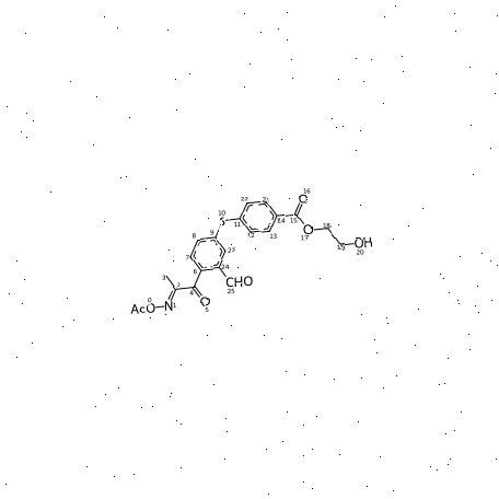 CC(=O)O/N=C(\C)C(=O)c1ccc(Sc2ccc(C(=O)OCCO)cc2)cc1C=O